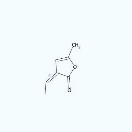 CC1=C/C(=C/I)C(=O)O1